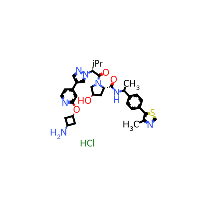 Cc1ncsc1-c1ccc(C(C)NC(=O)[C@@H]2C[C@@H](O)CN2C(=O)[C@@H](C(C)C)n2cc(-c3ccnc(O[C@H]4C[C@H](N)C4)c3)cn2)cc1.Cl